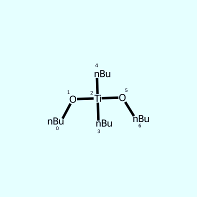 CCCC[O][Ti]([CH2]CCC)([CH2]CCC)[O]CCCC